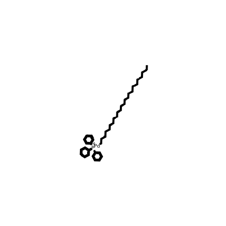 CCCCCCCCCCCCCCCCCCCCCCC[CH2][Pd][PH](c1ccccc1)(c1ccccc1)c1ccccc1